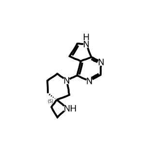 c1nc(N2CCC[C@]3(CCN3)C2)c2cc[nH]c2n1